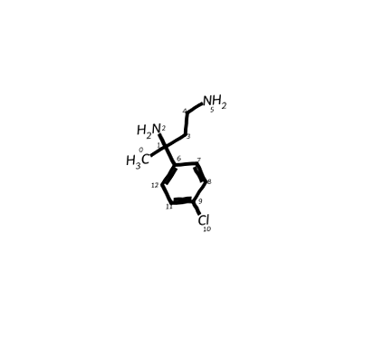 CC(N)(CCN)c1ccc(Cl)cc1